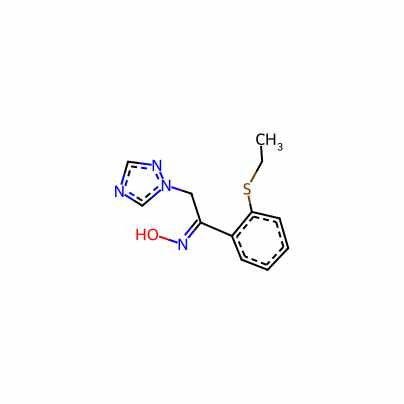 CCSc1ccccc1C(Cn1cncn1)=NO